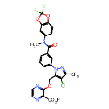 CN(C(=O)c1cccc(-n2nc(C(F)(F)F)c(Cl)c2COc2nccnc2C(=O)O)c1)c1ccc2c(c1)OC(F)(F)O2